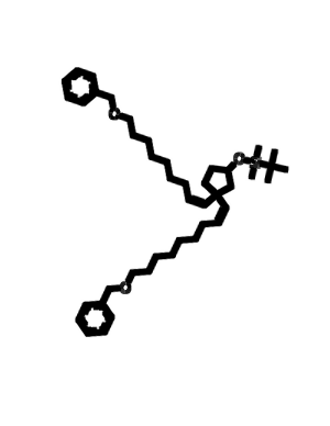 CC(C)(C)[Si](C)(C)OC1CCC(/C=C\CCCCCCCOCc2ccccc2)(/C=C\CCCCCCCOCc2ccccc2)C1